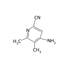 Cc1nc(C#N)cc(N)c1C